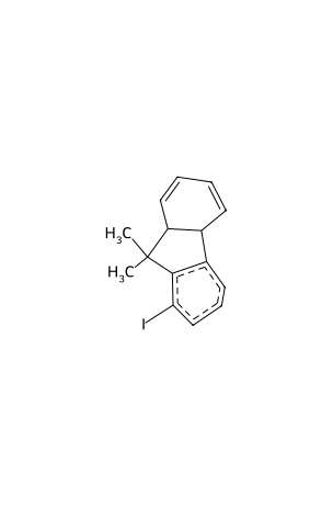 CC1(C)c2c(I)cccc2C2C=CC=CC21